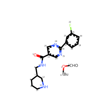 CC(C)(C)OC=O.O=C(NCC1CCCNC1)c1cnc(-c2cccc(F)c2)nc1